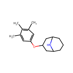 Cc1cc(OC2CC3CCCC(C2)N3)cc(C)c1C